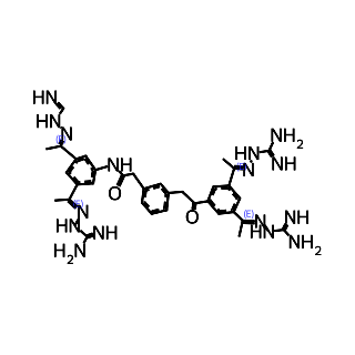 C/C(=N\NC=N)c1cc(NC(=O)Cc2cccc(CC(=O)c3cc(/C(C)=N/NC(=N)N)cc(/C(C)=N/NC(=N)N)c3)c2)cc(/C(C)=N/NC(=N)N)c1